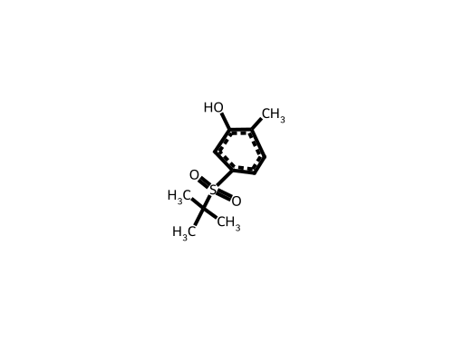 Cc1ccc(S(=O)(=O)C(C)(C)C)cc1O